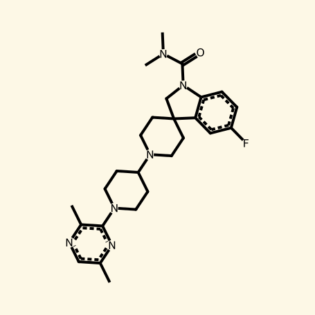 Cc1cnc(C)c(N2CCC(N3CCC4(CC3)CN(C(=O)N(C)C)c3ccc(F)cc34)CC2)n1